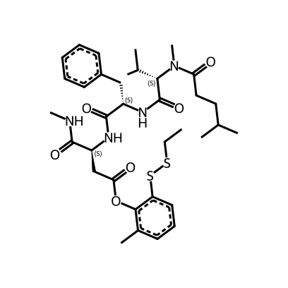 CCSSc1cccc(C)c1OC(=O)C[C@H](NC(=O)[C@H](Cc1ccccc1)NC(=O)[C@H](C(C)C)N(C)C(=O)CCC(C)C)C(=O)NC